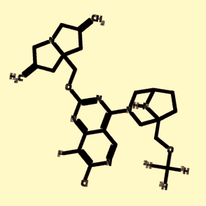 [2H]N1C2CCC1(COC([2H])([2H])[2H])CN(c1nc(OCC34CC(=C)CN3CC(=C)C4)nc3c(F)c(Cl)ncc13)C2